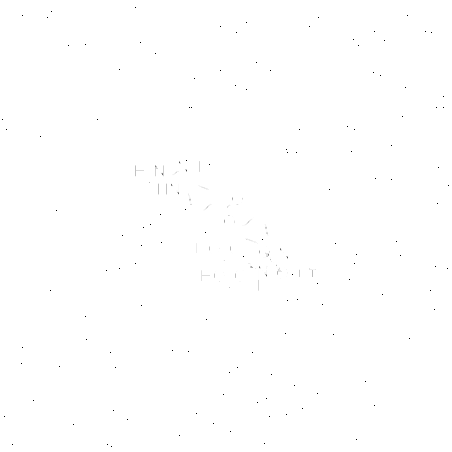 CC(C)CN(Cc1ccc(OC(=O)c2ccc(NC(=N)N)cc2)cc1)S(=O)(=O)N[C@@H](CC(=O)O)C(=O)O